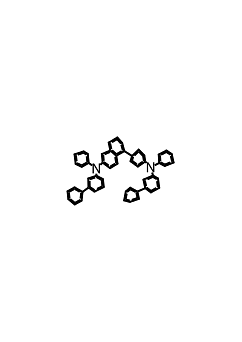 c1ccc(-c2cccc(N(c3ccccc3)c3ccc(-c4cccc5cc(N(c6ccccc6)c6cccc(-c7ccccc7)c6)ccc45)cc3)c2)cc1